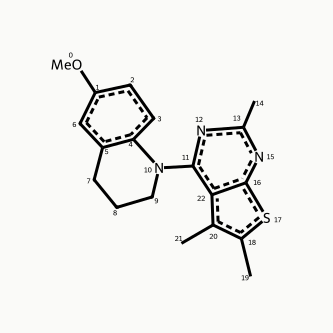 COc1ccc2c(c1)CCCN2c1nc(C)nc2sc(C)c(C)c12